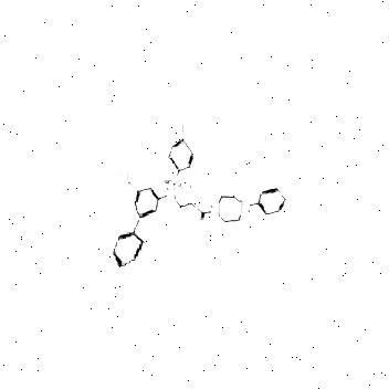 O=C(CCN(c1cc(Cl)cc(-c2ccccc2)c1)S(=O)(=O)c1ccc(F)cc1)N1CCN(c2ccccc2)CC1